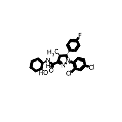 C[C@H]1C(C(=O)N[C@@H]2CCCC[C@H]2O)=NN(c2ccc(Cl)cc2Cl)[C@H]1c1ccc(F)cc1